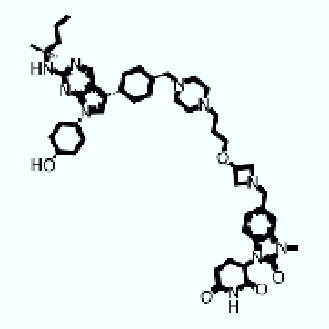 CCC[C@H](C)Nc1ncc2c(n1)n([C@H]1CC[C@H](O)CC1)cc2[C@H]1CC[C@H](CN2CCN(CCCOC3CN(Cc4ccc5c(c4)n(C)c(=O)n5C4CCC(=O)NC4=O)C3)CC2)CC1